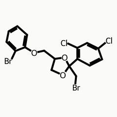 Clc1ccc(C2(CBr)OCC(COc3ccccc3Br)O2)c(Cl)c1